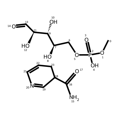 COP(=O)(O)OC[C@@H](O)[C@@H](O)[C@@H](O)C=O.NC(=O)C1C=NC=CC1